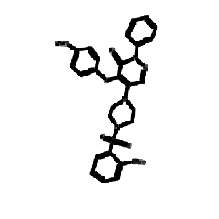 COc1ccc(Sc2c(N3CCN(S(=O)(=O)c4ccccc4OC)CC3)cnn(-c3ccccc3)c2=O)cc1